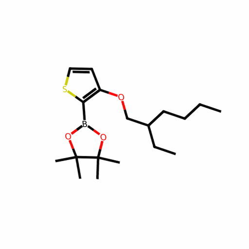 CCCCC(CC)COc1ccsc1B1OC(C)(C)C(C)(C)O1